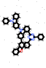 c1ccc(-c2nc(-c3ccccc3)nc(-c3cccc4c3c3cc(-c5ccc6oc7ccccc7c6c5)ccc3n4-c3ccc4c(c3)c3ccccc3n4-c3ccccc3)n2)cc1